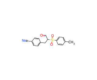 Cc1ccc(S(=O)(=O)C(C=O)Cc2ccc(C#N)cc2)cc1